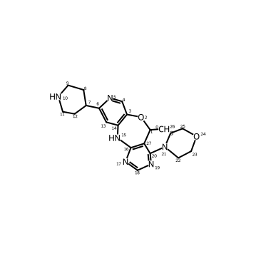 CC1Oc2cnc(C3CCNCC3)cc2Nc2ncnc(N3CCOCC3)c21